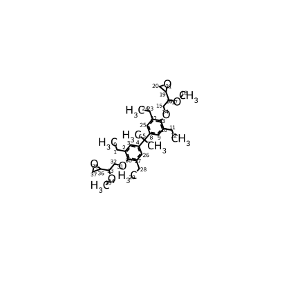 CCc1cc(C(C)(C)c2cc(CC)c(OCC(OC)C3CO3)c(CC)c2)cc(CC)c1OCC(OC)C1CO1